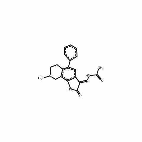 CN1CCc2c(-c3ccccc3)cc3c(c2C1)NC(=O)/C3=N/NC(N)=S